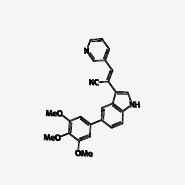 COc1cc(-c2ccc3[nH]cc(/C(C#N)=C/c4cccnc4)c3c2)cc(OC)c1OC